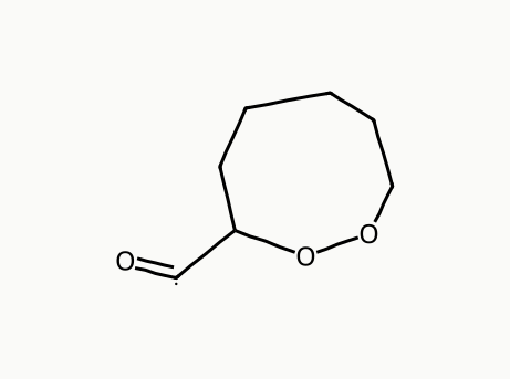 O=[C]C1CCCCCOO1